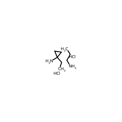 CCC1(N)CC1.CCCN.Cl.Cl